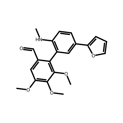 CNc1ccc(-c2ccco2)cc1-c1c(C=O)cc(OC)c(OC)c1OC